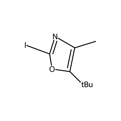 Cc1nc(I)oc1C(C)(C)C